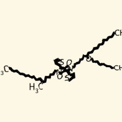 CCCCCCCCCCCCC(C)CCCCCCN1C(=O)C2=C(c3cccs3)N(CCCCCCC(CCCCCCCCCCCC)OCCCCCCCCC)C(=O)C2=C1c1cccs1